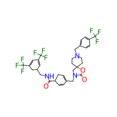 O=C(NCC1C=C(C(F)(F)F)C=C(C(F)(F)F)C1)C1C=CC(CN2CC3(CCN(Cc4ccc(C(F)(F)F)cc4)CC3)OC2=O)=CC1